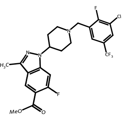 COC(=O)c1cc2c(C)nn(C3CCN(Cc4cc(C(F)(F)F)cc(Cl)c4F)CC3)c2cc1F